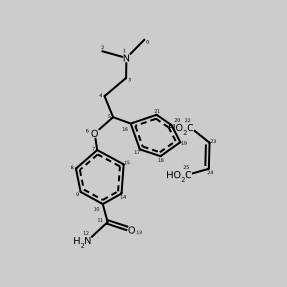 CN(C)CCC(Oc1ccc(C(N)=O)cc1)c1ccccc1.O=C(O)/C=C\C(=O)O